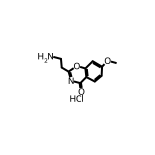 COc1ccc2c(=O)nc(CCN)oc2c1.Cl